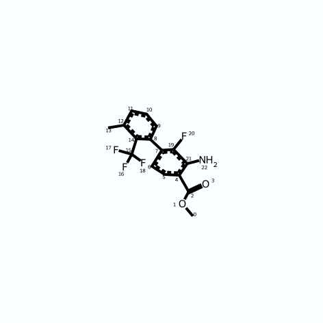 COC(=O)c1ccc(-c2cccc(C)c2C(F)(F)F)c(F)c1N